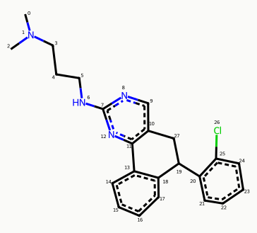 CN(C)CCCNc1ncc2c(n1)-c1ccccc1C(c1ccccc1Cl)C2